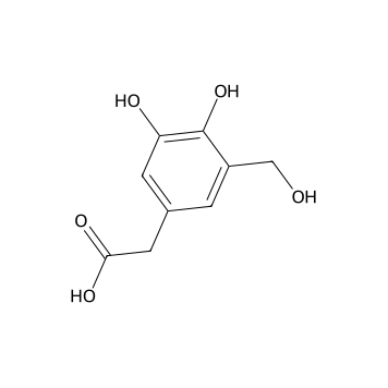 O=C(O)Cc1cc(O)c(O)c(CO)c1